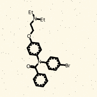 CCN(CC)CCOc1ccc(N(C(=O)c2ccccc2)c2ccc(Br)cc2)cc1